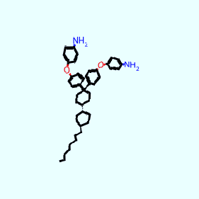 CCCCCCCC[C@H]1CC[C@H](C2CCC(c3ccc(Oc4ccc(N)cc4)cc3)(c3ccc(Oc4ccc(N)cc4)cc3)CC2)CC1